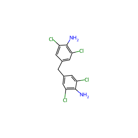 Nc1c(Cl)cc(Cc2cc(Cl)c(N)c(Cl)c2)cc1Cl